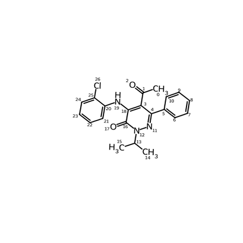 CC(=O)c1c(-c2ccccc2)nn(C(C)C)c(=O)c1Nc1ccccc1Cl